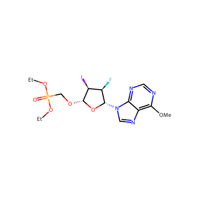 CCOP(=O)(CO[C@H]1O[C@@H](n2cnc3c(OC)ncnc32)[C@H](F)[C@@H]1I)OCC